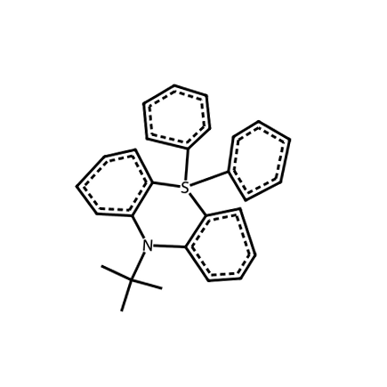 CC(C)(C)N1c2ccccc2S(c2ccccc2)(c2ccccc2)c2ccccc21